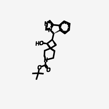 CC(C)(C)OC(=O)N1CCC2(CC1)C[C@H]([C@H]1c3ccccc3-c3cncn31)[C@@H]2O